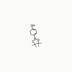 CC1(C)OB(C2=CC=C(O)CC2)OC1(C)C